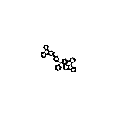 c1ccc(N(c2ccc(-c3ccc4c5ccccc5c5ccccc5c4c3)cc2)c2ccc(-c3ccccc3-n3c4ccccc4c4ccccc43)cc2)cc1